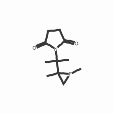 CP1CC1(C)C(C)(C)N1C(=O)CCC1=O